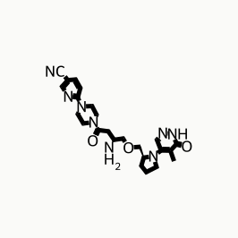 Cc1c(N2CCC[C@H]2COC[C@H](N)CC(=O)N2CCN(c3ccc(C#N)cn3)CC2)cn[nH]c1=O